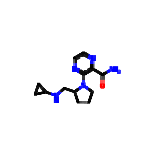 NC(=O)c1nccnc1N1CCCC1CNC1CC1